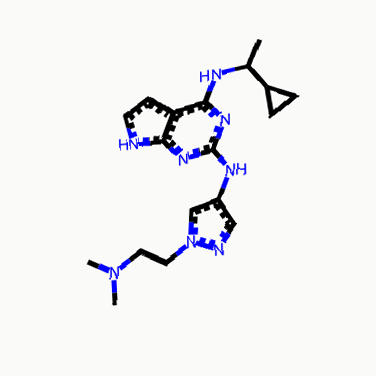 CC(Nc1nc(Nc2cnn(CCN(C)C)c2)nc2[nH]ccc12)C1CC1